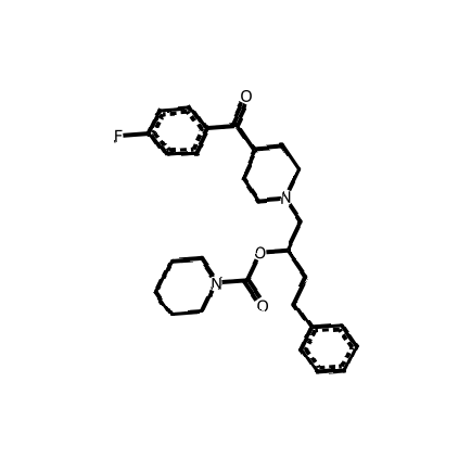 O=C(c1ccc(F)cc1)C1CCN(CC(CCc2ccccc2)OC(=O)N2CCCCC2)CC1